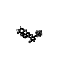 [2H]C([2H])([2H])C([2H])([2H])OCc1cnc(Cl)nc1Oc1ccc2c(ccc3sc4c(c32)NC[C@@H](C)NC4=O)n1